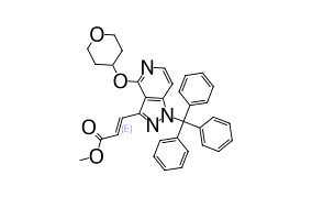 COC(=O)/C=C/c1nn(C(c2ccccc2)(c2ccccc2)c2ccccc2)c2ccnc(OC3CCOCC3)c12